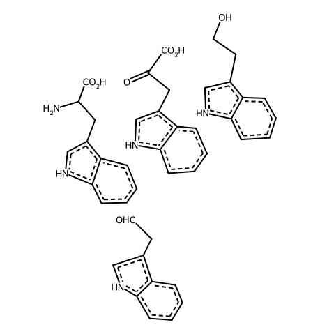 NC(Cc1c[nH]c2ccccc12)C(=O)O.O=C(O)C(=O)Cc1c[nH]c2ccccc12.O=CCc1c[nH]c2ccccc12.OCCc1c[nH]c2ccccc12